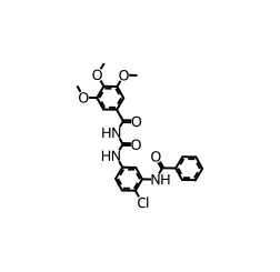 COc1cc(C(=O)NC(=O)Nc2ccc(Cl)c(NC(=O)c3ccccc3)c2)cc(OC)c1OC